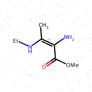 CCN/C(C)=C(/N)C(=O)OC